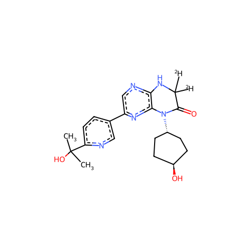 [2H]C1([2H])Nc2ncc(-c3ccc(C(C)(C)O)nc3)nc2N([C@H]2CC[C@H](O)CC2)C1=O